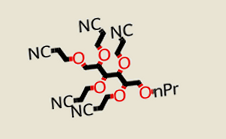 CCCOCC(OCCC#N)C(OCCC#N)C(OCCC#N)C(COCCC#N)OCCC#N